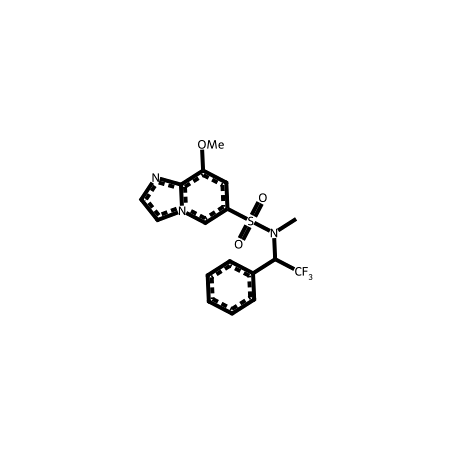 COc1cc(S(=O)(=O)N(C)C(c2ccccc2)C(F)(F)F)cn2ccnc12